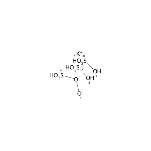 O=S(=O)(O)O.O=S(=O)(O)O.O=S(=O)(O)O[O-].[K+]